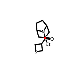 CCN1CC2CCC(C1)N2C(=O)C1CSC1